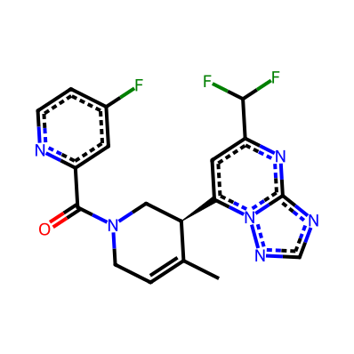 CC1=CCN(C(=O)c2cc(F)ccn2)C[C@H]1c1cc(C(F)F)nc2ncnn12